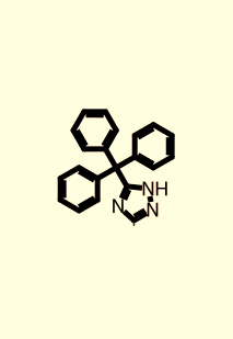 [c]1n[nH]c(C(c2ccccc2)(c2ccccc2)c2ccccc2)n1